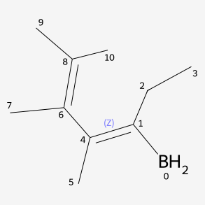 B/C(CC)=C(\C)C(C)=C(C)C